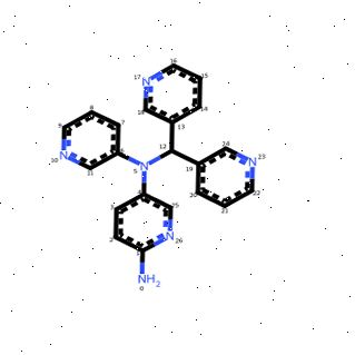 Nc1ccc(N(c2cccnc2)C(c2cccnc2)c2cccnc2)cn1